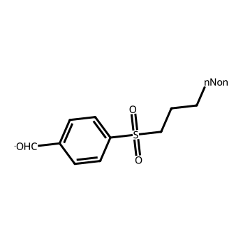 CCCCCCCCCCCCS(=O)(=O)c1ccc([C]=O)cc1